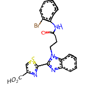 O=C(CCn1c(-c2nc(C(=O)O)cs2)nc2ccccc21)Nc1ccccc1Br